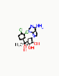 C[C@](O)(c1ccc(Cl)c(Cl)c1)[C@H]1C[C@@H](n2ccc3c(N)ncnc32)[C@H](O)[C@@H]1O